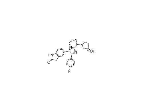 O=C1Cc2cc(-c3c(-c4ccc(F)cc4)nc4c(N5CC[C@@H](O)C5)nccn34)ccc2N1